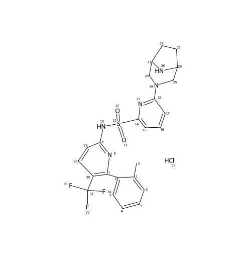 Cc1ccccc1-c1nc(NS(=O)(=O)c2cccc(N3CC4CCC(C3)N4)n2)ccc1C(F)(F)F.Cl